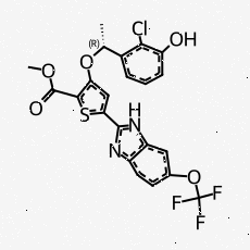 COC(=O)c1sc(-c2nc3ccc(OC(F)(F)F)cc3[nH]2)cc1O[C@H](C)c1cccc(O)c1Cl